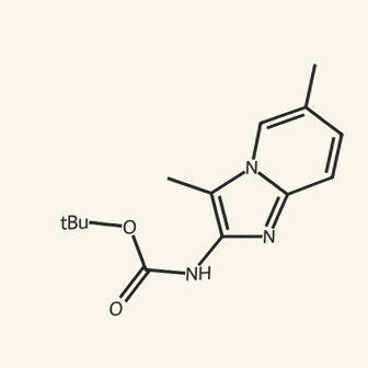 Cc1ccc2nc(NC(=O)OC(C)(C)C)c(C)n2c1